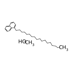 CCCCCCCCCCCCCCCCCCc1cccc2ccccc12.CO